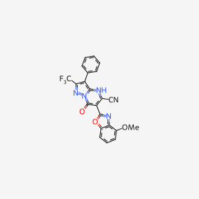 COc1cccc2oc(-c3c(C#N)[nH]c4c(-c5ccccc5)c(C(F)(F)F)nn4c3=O)nc12